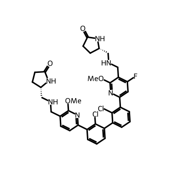 COc1nc(-c2cccc(-c3cccc(-c4cc(F)c(CNC[C@@H]5CCC(=O)N5)c(OC)n4)c3Cl)c2Cl)ccc1CNC[C@@H]1CCC(=O)N1